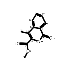 COC(=O)c1[nH]c(=O)c2ccccc2c1C